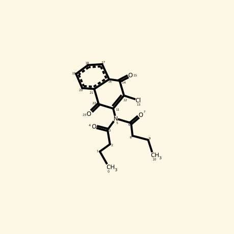 CCCC(=O)N(C(=O)CCC)C1=C(Cl)C(=O)c2ccccc2C1=O